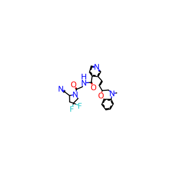 CN1CC(C=Cc2cnccc2C(=O)NCC(=O)N2CC(F)(F)CC2C#N)Oc2ccccc21